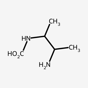 CC(N)C(C)NC(=O)O